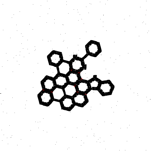 c1ccc(-c2nc(-c3ccccc3-c3c4ccccc4c(-c4c(-c5ccccc5)ccc5ccccc45)c4ccccc34)nc(-c3cccc4c3sc3ccccc34)n2)cc1